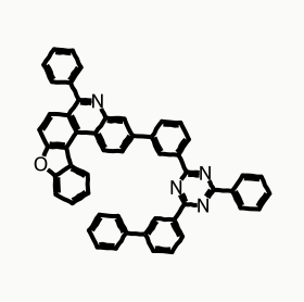 c1ccc(-c2cccc(-c3nc(-c4ccccc4)nc(-c4cccc(-c5ccc6c(c5)nc(-c5ccccc5)c5ccc7oc8ccccc8c7c56)c4)n3)c2)cc1